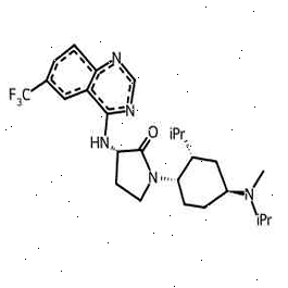 CC(C)[C@@H]1C[C@@H](N(C)C(C)C)CC[C@@H]1N1CC[C@H](Nc2ncnc3ccc(C(F)(F)F)cc23)C1=O